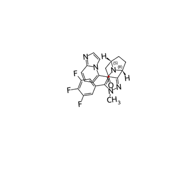 Cn1nc2c(c1-c1cc(F)c(F)c(F)c1)C[C@@H]1CC[C@H]2N1C(=O)c1cccc2nccn12